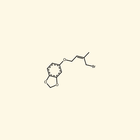 CC(=CCOc1ccc2c(c1)OCO2)CBr